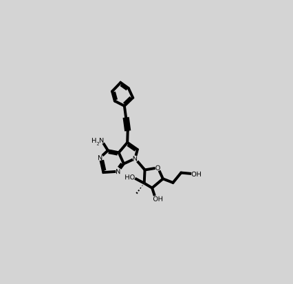 C[C@@]1(O)C(O)C(CCO)OC1n1cc(C#Cc2ccccc2)c2c(N)ncnc21